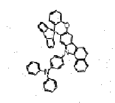 c1ccc(N(c2ccccc2)c2ccc(-n3c4cc5c(cc4c4ccc6ccccc6c43)Oc3ccccc3C53c4ccccc4-c4ccccc43)cc2)cc1